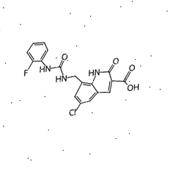 O=C(NCc1cc(Cl)cc2cc(C(=O)O)c(=O)[nH]c12)Nc1ccccc1F